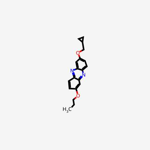 CCCOc1ccc2nc3cc(OCC4CC4)ccc3nc2c1